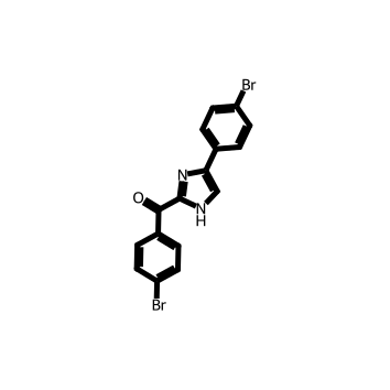 O=C(c1ccc(Br)cc1)c1nc(-c2ccc(Br)cc2)c[nH]1